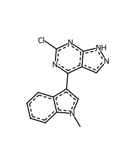 Cn1cc(-c2nc(Cl)nc3[nH]ncc23)c2ccccc21